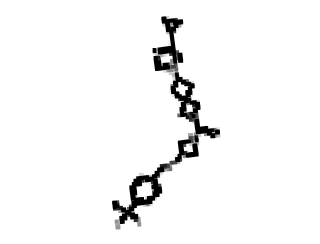 O=C(N1CC(OCc2ccc(C(F)(F)F)cc2)C1)N1CC2(CC(n3cnc(C4CC4)n3)C2)C1